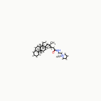 CCC[N+]1(CCNC(=O)CC[C@@H](C)[C@H]2CC[C@H]3[C@@H]4CCC5CCCC[C@]5(C)[C@H]4CC[C@]23C)CCCC1